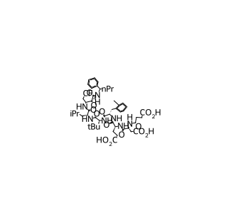 CCCC(NC(=O)C(=O)C(CC(F)(F)F)NC(=O)[C@H](CC(C)C)NC(=O)[C@@H](NC(=O)[C@H](Cc1ccccc1C)NC(=O)[C@H](CCC(=O)O)NC(=O)[C@H](CC(=O)O)NC(=O)CCC(=O)O)C(C)(C)C)c1ccccc1